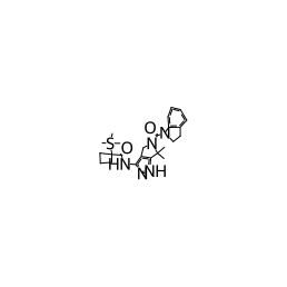 CC1(C)c2[nH]nc(NC(=O)C3(S(C)(C)C)CCC3)c2CN1C(=O)N1CCc2ccccc21